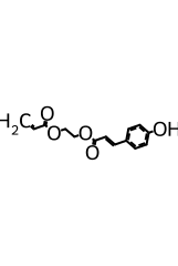 C=CC(=O)OCCOC(=O)/C=C/c1ccc(O)cc1